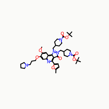 COc1cc2c(cc1OCCCN1CCCC1)nc(-c1ccc(C)o1)c1c(=O)n(CC3CCN(C(=O)OC(C)(C)C)CC3)n(CC3CCN(C(=O)OC(C)(C)C)CC3)c12